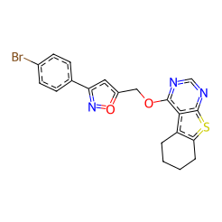 Brc1ccc(-c2cc(COc3ncnc4sc5c(c34)CCCC5)on2)cc1